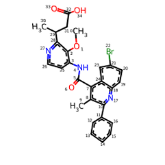 COc1c(NC(=O)c2c(C)c(-c3ccccc3)nc3ccc(Br)cc23)ccnc1C(C)CC(=O)O